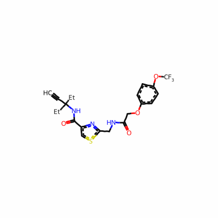 C#CC(CC)(CC)NC(=O)c1csc(CNC(=O)COc2ccc(OC(F)(F)F)cc2)n1